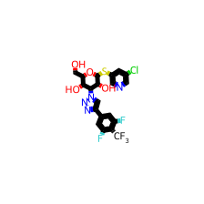 OCC1OC(Sc2cncc(Cl)c2)C(O)C(n2cc(-c3cc(F)c(C(F)(F)F)c(F)c3)nn2)C1O